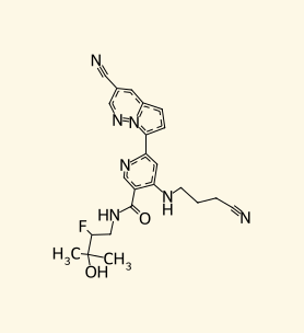 CC(C)(O)C(F)CNC(=O)c1cnc(-c2ccc3cc(C#N)cnn23)cc1NCCCC#N